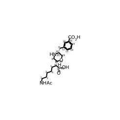 CC(=O)NCCCCCC([C@@H]1CN[C@H](Cc2cccc(C(=O)O)c2)CO1)[PH](=O)O